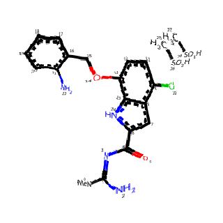 CNC(N)=NC(=O)c1cc2c(Cl)ccc(OCc3ccccc3N)c2[nH]1.CS(=O)(=O)O.CS(=O)(=O)O